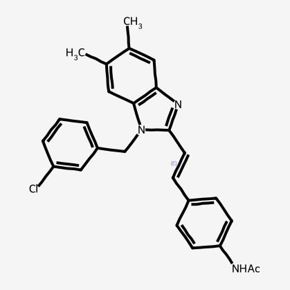 CC(=O)Nc1ccc(/C=C/c2nc3cc(C)c(C)cc3n2Cc2cccc(Cl)c2)cc1